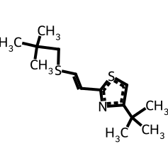 CC(C)(C)CSC=Cc1nc(C(C)(C)C)cs1